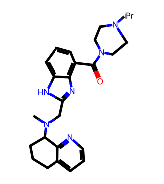 CC(C)N1CCN(C(=O)c2cccc3[nH]c(CN(C)C4CCCc5cccnc54)nc23)CC1